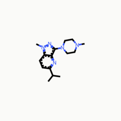 CC(C)c1ccc2c(n1)c(N1CCN(C)CC1)nn2C